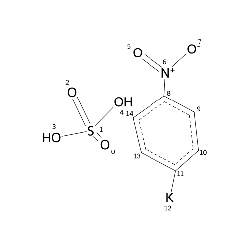 O=S(=O)(O)O.O=[N+]([O-])c1cc[c]([K])cc1